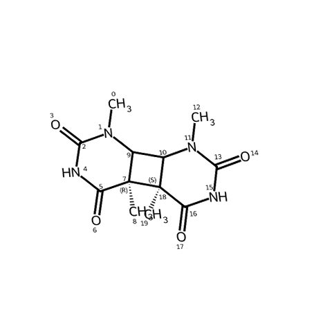 CN1C(=O)NC(=O)[C@@]2(C)C1C1N(C)C(=O)NC(=O)[C@]12C